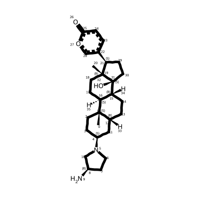 C[C@]12CC[C@H](N3CC[C@@H](N)C3)C[C@H]1CC[C@@H]1[C@@H]2CC[C@]2(C)[C@@H](c3ccc(=O)oc3)CC[C@]12O